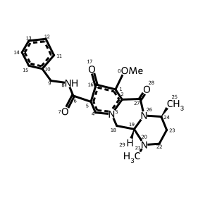 COc1c2n(cc(C(=O)NCc3ccccc3)c1=O)C[C@H]1N(C)CC[C@H](C)N1C2=O